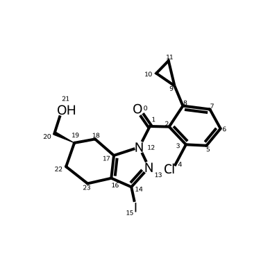 O=C(c1c(Cl)cccc1C1CC1)n1nc(I)c2c1C[C@H](CO)CC2